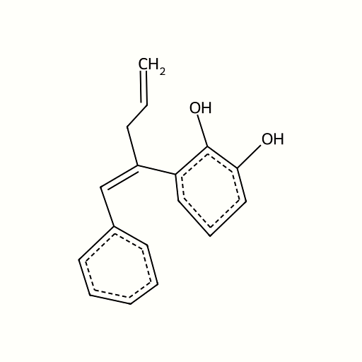 C=CCC(=Cc1ccccc1)c1cccc(O)c1O